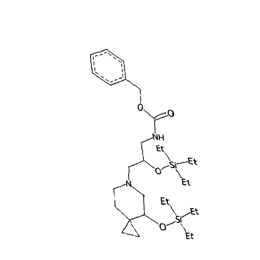 CC[Si](CC)(CC)OC(CNC(=O)OCc1ccccc1)CN1CCC2(CC2)C(O[Si](CC)(CC)CC)C1